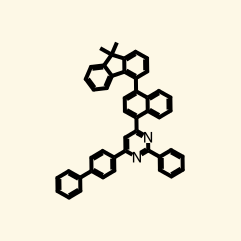 CC1(C)c2ccccc2-c2c(-c3ccc(-c4cc(-c5ccc(-c6ccccc6)cc5)nc(-c5ccccc5)n4)c4ccccc34)cccc21